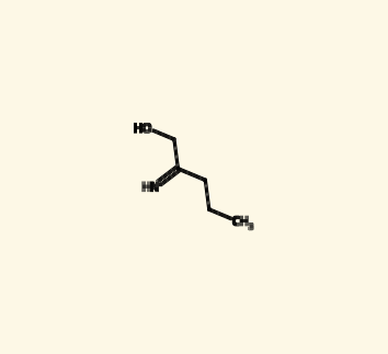 CCCC(=N)CO